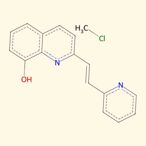 CCl.Oc1cccc2ccc(C=Cc3ccccn3)nc12